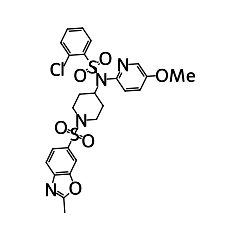 COc1ccc(N(C2CCN(S(=O)(=O)c3ccc4nc(C)oc4c3)CC2)S(=O)(=O)c2ccccc2Cl)nc1